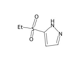 CCS(=O)(=O)c1ccn[nH]1